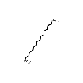 CCCCC/C=C/C=C/CCCCC/C=C/CCCC(=O)O